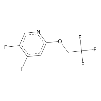 Fc1cnc(OCC(F)(F)F)cc1I